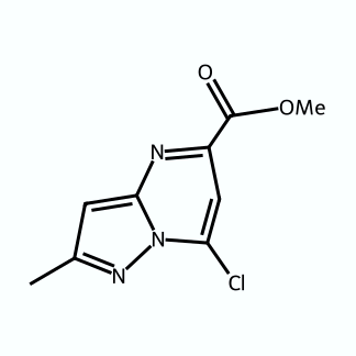 COC(=O)c1cc(Cl)n2nc(C)cc2n1